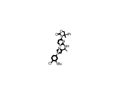 CC(C)[C@]1(C)COC(=O)N1c1ccnc(N[C@@H](C)c2cn(-c3ccc(Cl)c(C(C)(C)C)c3)cn2)n1